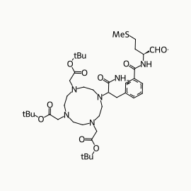 CSCC[C@@H]([C]=O)NC(=O)c1cccc(CC(C(N)=O)N2CCN(CC(=O)OC(C)(C)C)CCN(CC(=O)OC(C)(C)C)CCN(CC(=O)OC(C)(C)C)CC2)c1